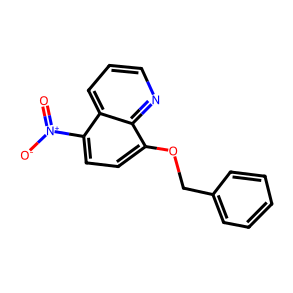 O=[N+]([O-])c1ccc(OCc2ccccc2)c2ncccc12